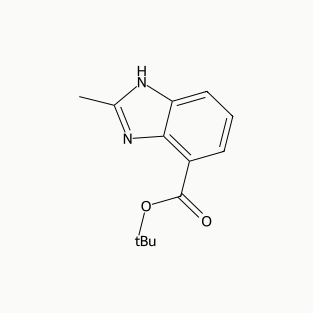 Cc1nc2c(C(=O)OC(C)(C)C)cccc2[nH]1